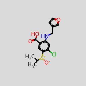 CC(C)[S+]([O-])c1cc(C(=O)O)c(NCc2ccoc2)cc1Cl